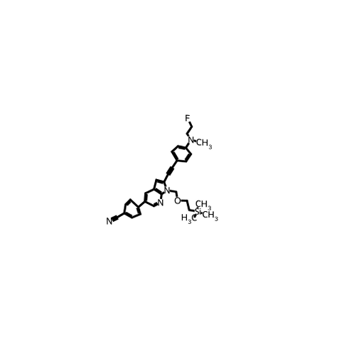 CN(CCF)c1ccc(C#Cc2cc3cc(-c4ccc(C#N)cc4)cnc3n2COCC[Si](C)(C)C)cc1